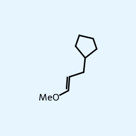 CO/C=C/CC1CCCC1